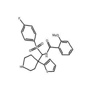 COc1ccccc1C(=O)NC(C1(c2cccs2)CCNCC1)S(=O)(=O)c1ccc(F)cc1